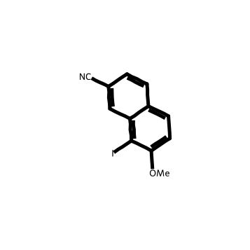 COc1ccc2ccc(C#N)cc2c1I